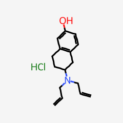 C=CCN(CC=C)C1CCc2cc(O)ccc2C1.Cl